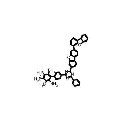 Bc1c(B)c(B)c(-c2ccc(-c3nc(-c4ccccc4)nc(-c4ccc5c(c4)oc4cc(-c6cccc7c6oc6ccccc67)ccc45)n3)cc2)c(B)c1B